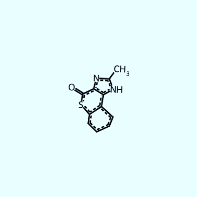 Cc1nc2c(=O)sc3ccccc3c2[nH]1